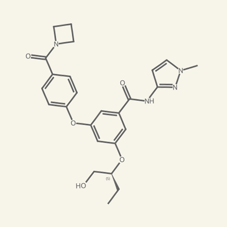 CC[C@@H](CO)Oc1cc(Oc2ccc(C(=O)N3CCC3)cc2)cc(C(=O)Nc2ccn(C)n2)c1